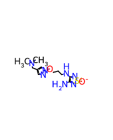 CN(C)Cc1cnn(OCCCNc2n[s+]([O-])nc2N)c1